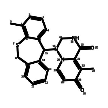 Cc1cccc2c1SCc1ccccc1C2N1CNC(=O)c2c(C)c(=O)ccn21